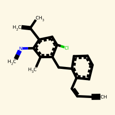 C#C/C=C\c1ccccc1Cc1c(Cl)cc(C(=C)C)c(N=C)c1C